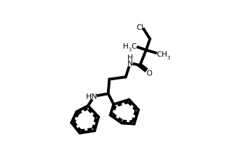 CC(C)(CCl)C(=O)NCCC(Nc1ccccc1)c1ccccc1